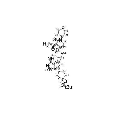 CC(C)(C)[Si](C)(C)OC1CCC(c2cc(-c3ccc(-c4ccn(-c5ccccc5)c(=O)c4C(N)=O)cc3)c3c(N)ncnn23)CC1